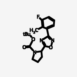 Cc1c(F)cccc1-c1noc(C2CCCN2C(=O)OC(C)(C)C)n1